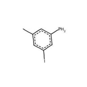 Cc1cc(P)cc(I)c1